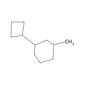 CC1CCCC(C2CCC2)C1